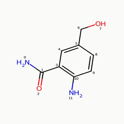 NC(=O)c1cc(CO)ccc1N